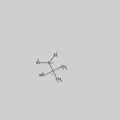 CCCC(C)(C)[Si](CC)CC